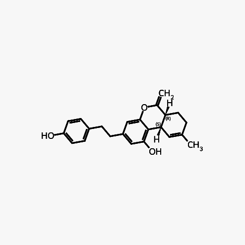 C=C1Oc2cc(CCc3ccc(O)cc3)cc(O)c2[C@H]2C=C(C)CC[C@@H]12